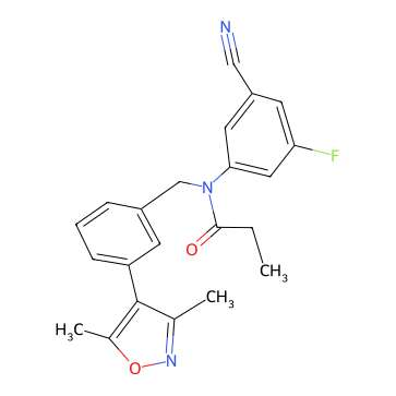 CCC(=O)N(Cc1cccc(-c2c(C)noc2C)c1)c1cc(F)cc(C#N)c1